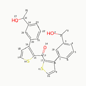 CC(O)c1cccc(-c2ccsc2C(=O)c2sccc2-c2cccc(C(C)O)c2)c1